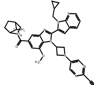 COc1cc(C(=O)N2CC3CCC2[C@@H]3N)cc2nc(-c3cc4cccnc4n3CC3CC3)n(C3CN(c4cnc(C#N)nc4)C3)c12